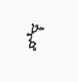 C=CCN(CC(=O)O)C(=O)COc1ccc(Cl)cc1